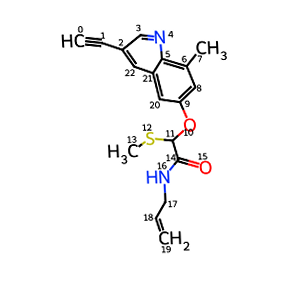 C#Cc1cnc2c(C)cc(OC(SC)C(=O)NCC=C)cc2c1